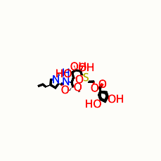 CCC[C@@H]1C[C@@H](C(=O)N[C@@H]([C@H]2O[C@H](SCCOC(=O)c3cc(O)cc(O)c3)[C@H](O)[C@@H](O)[C@H]2O)[C@@H](C)OC)N(C)C1